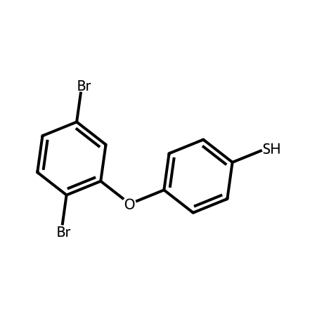 Sc1ccc(Oc2cc(Br)ccc2Br)cc1